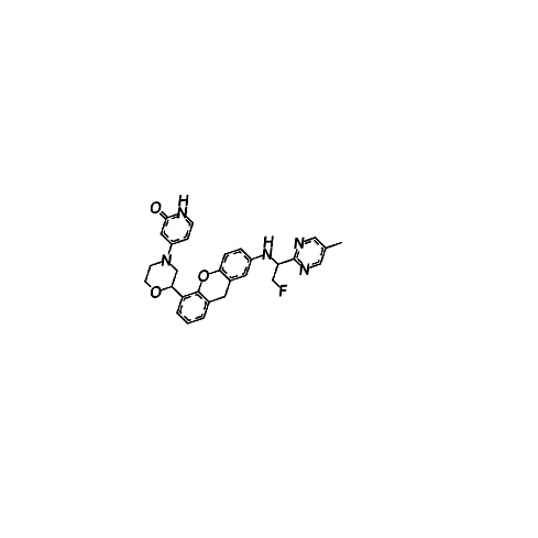 Cc1cnc(C(CF)Nc2ccc3c(c2)Cc2cccc(C4CN(c5cc[nH]c(=O)c5)CCO4)c2O3)nc1